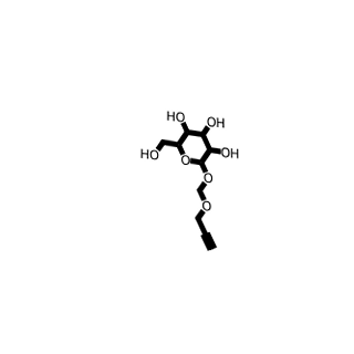 C#CCOCOC1OC(CO)C(O)C(O)C1O